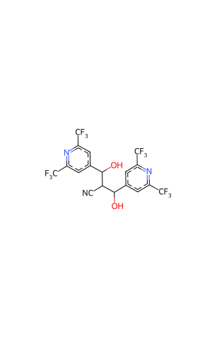 N#CC(C(O)c1cc(C(F)(F)F)nc(C(F)(F)F)c1)C(O)c1cc(C(F)(F)F)nc(C(F)(F)F)c1